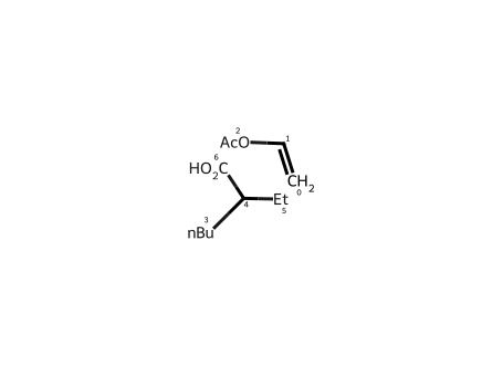 C=COC(C)=O.CCCCC(CC)C(=O)O